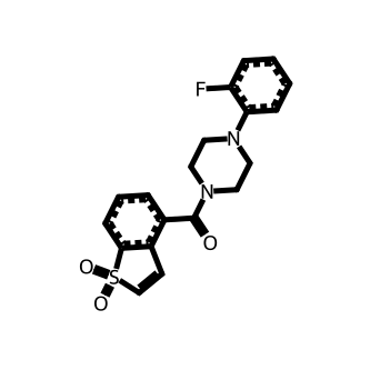 O=C(c1cccc2c1C=CS2(=O)=O)N1CCN(c2ccccc2F)CC1